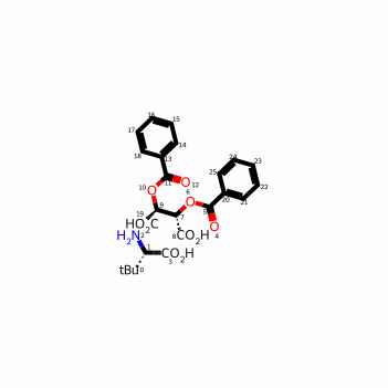 CC(C)(C)[C@H](N)C(=O)O.O=C(O[C@H](C(=O)O)[C@H](OC(=O)c1ccccc1)C(=O)O)c1ccccc1